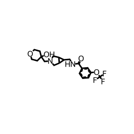 O=C(NCC1C2CN(CC3(O)CCOCC3)CC12)c1cccc(OC(F)(F)F)c1